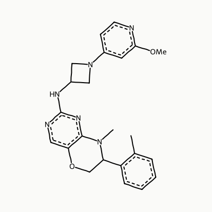 COc1cc(N2CC(Nc3ncc4c(n3)N(C)C(c3ccccc3C)CO4)C2)ccn1